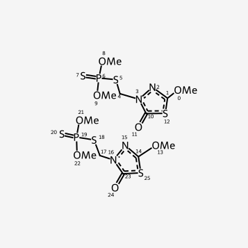 COc1nn(CSP(=S)(OC)OC)c(=O)s1.COc1nn(CSP(=S)(OC)OC)c(=O)s1